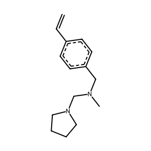 C=Cc1ccc(CN(C)CN2CCCC2)cc1